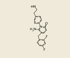 [NH]CCc1ccc(-n2c(N)c(Cc3ccc(F)cc3F)ccc2=O)cc1